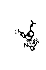 C=C(C)C#Cc1ccc2c(c1)c1cc(Cl)ccc1c1nc(-c3c(C#N)cccc3C#N)[nH]c21